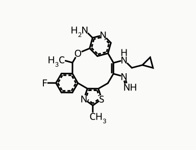 Cc1nc2c(s1)C/C(N=N)=C(/NCC1CC1)c1cnc(N)c(c1)OC(C)c1cc(F)ccc1-2